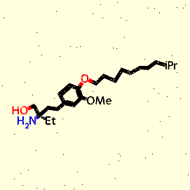 CC[C@@](N)(CO)CCc1ccc(OCCCCCCCCC(C)C)c(OC)c1